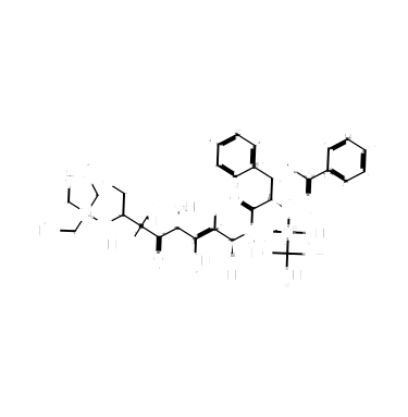 CCC(O[Si](CC)(CC)CC)C(C)(C)C(=O)[C@H](O)/C(C)=C(\C)[C@H](C)OC(=O)[C@H](O[Si](C)(C)C(C)(C)C)[C@@H](NC(=O)c1ccccc1)c1ccccc1